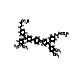 Cc1ccc(N(c2ccc(CCCC(=O)O)cc2)c2ccc(-c3ccc(-c4ccc(N(c5ccc(CCCC(=O)O)cc5)c5ccc(C)c(C)c5)cc4)cc3)cc2)cc1C